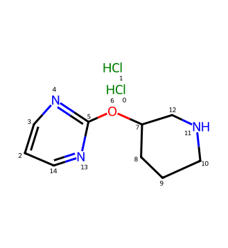 Cl.Cl.c1cnc(OC2CCCNC2)nc1